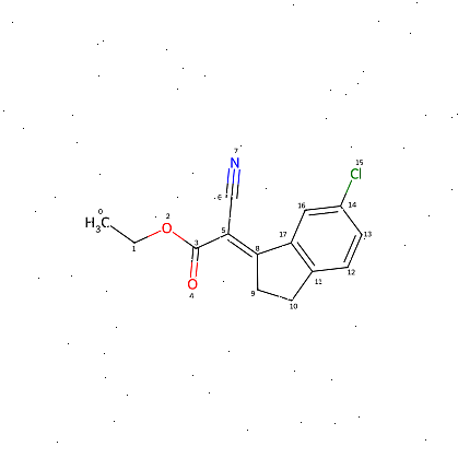 CCOC(=O)/C(C#N)=C1\CCc2ccc(Cl)cc21